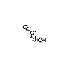 C=C1C(C(C)c2cc(C)cc(-n3nc4ccccc4n3)c2)CC(=O)N1c1ccc(N(C)C)cc1